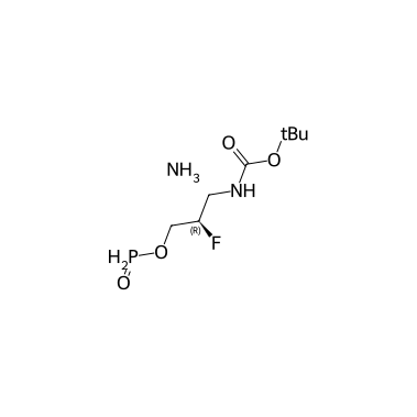 CC(C)(C)OC(=O)NC[C@@H](F)CO[PH2]=O.N